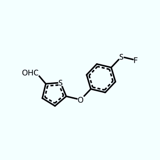 O=Cc1ccc(Oc2ccc(SF)cc2)s1